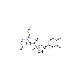 C=C/C=C\C(=C/C=C)NC(=O)[C@@](C)(O)COC(/C=C\C=C)=C/C=C